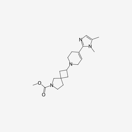 COC(=O)N1CCC2(CC(N3CC=C(c4ncc(C)n4C)CC3)C2)C1